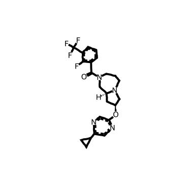 O=C(c1cccc(C(F)(F)F)c1F)N1CCCN2C[C@@H](Oc3cnc(C4CC4)cn3)C[C@H]2C1